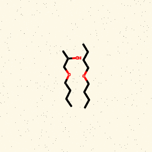 CCCCOCC(C)O.CCCCOCCCC